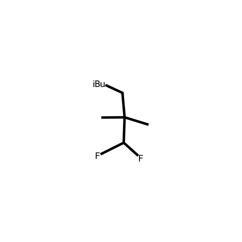 CCC(C)CC(C)(C)C(F)F